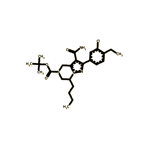 CCCCC1CN(C(=O)OC(C)(C)C)Cc2c(C(N)=O)c(-c3ccc(CC)c(Cl)c3)nn21